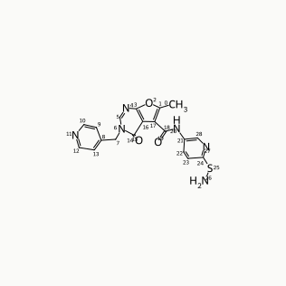 Cc1oc2ncn(Cc3ccncc3)c(=O)c2c1C(=O)Nc1ccc(SN)nc1